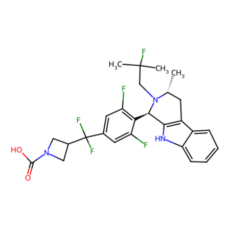 C[C@@H]1Cc2c([nH]c3ccccc23)[C@@H](c2c(F)cc(C(F)(F)C3CN(C(=O)O)C3)cc2F)N1CC(C)(C)F